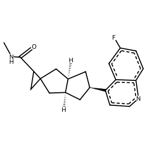 CNC(=O)C1CC12C[C@H]1C[C@@H](c3ccnc4ccc(F)cc34)C[C@H]1C2